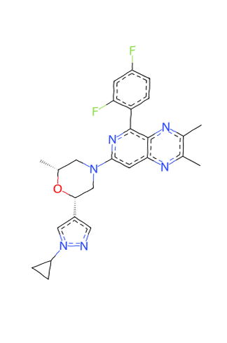 Cc1nc2cc(N3C[C@@H](C)O[C@@H](c4cnn(C5CC5)c4)C3)nc(-c3ccc(F)cc3F)c2nc1C